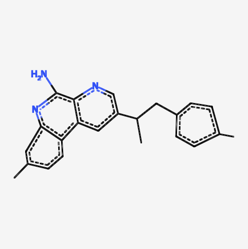 Cc1ccc(CC(C)c2cnc3c(N)nc4cc(C)ccc4c3c2)cc1